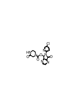 O=C1CN(C(=O)OC2c3nccnc3C(=O)N2c2ccc(Cl)cn2)CCN1